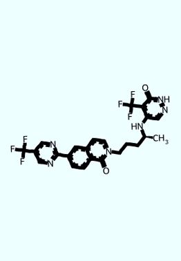 C[C@@H](CCCn1ccc2cc(-c3ncc(C(F)(F)F)cn3)ccc2c1=O)Nc1cn[nH]c(=O)c1C(F)(F)F